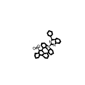 O=[N+]([O-])c1c(-c2cccc3c2c2ccccc2n3-c2nc(-c3ccccc3)c3ccccc3n2)c2ccccc2c2ccccc12